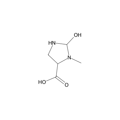 CN1C(O)NCC1C(=O)O